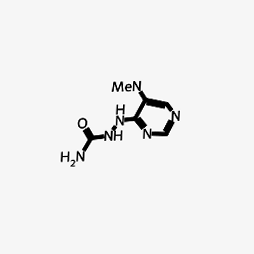 CNc1cncnc1NNC(N)=O